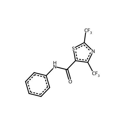 O=C(Nc1ccccc1)c1sc(C(F)(F)F)nc1C(F)(F)F